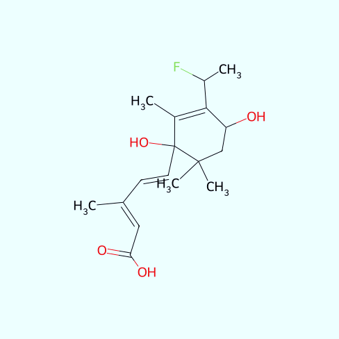 CC(C=CC1(O)C(C)=C(C(C)F)C(O)CC1(C)C)=CC(=O)O